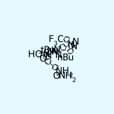 CC(C)(C)C(O)C(Oc1ccc(-c2ccccc2)cc1)n1cncn1.CCCCn1cnnc1.FC(F)(F)c1cccc(C(c2ccccc2)(c2ccccc2)n2cncn2)c1.NC(N)=O